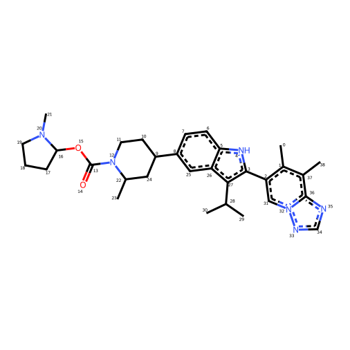 Cc1c(-c2[nH]c3ccc(C4CCN(C(=O)OC5CCCN5C)C(C)C4)cc3c2C(C)C)cn2ncnc2c1C